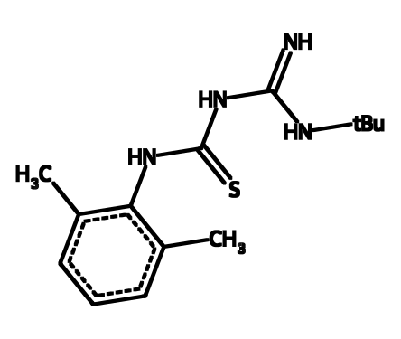 Cc1cccc(C)c1NC(=S)NC(=N)NC(C)(C)C